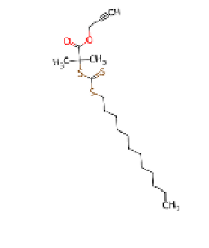 C#CCOC(=O)C(C)(C)SC(=S)SCCCCCCCCCCCC